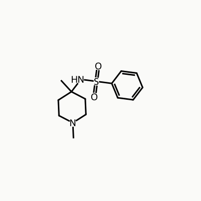 CN1CCC(C)(NS(=O)(=O)c2ccccc2)CC1